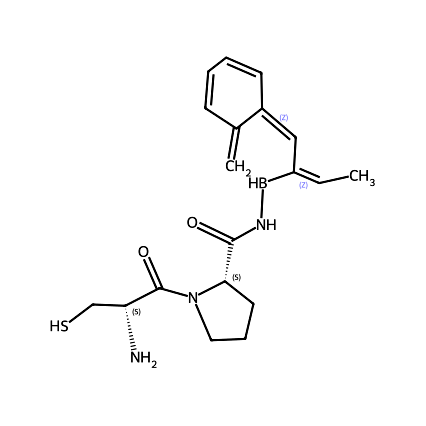 C=c1cccc/c1=C/C(BNC(=O)[C@@H]1CCCN1C(=O)[C@H](N)CS)=C\C